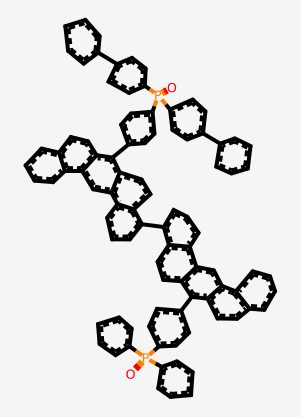 O=P(c1ccccc1)(c1ccccc1)c1ccc(-c2c3ccc4ccccc4c3cc3c2ccc2c(-c4cccc5c4ccc4c(-c6ccc(P(=O)(c7ccc(-c8ccccc8)cc7)c7ccc(-c8ccccc8)cc7)cc6)c6ccc7ccccc7c6cc45)cccc23)cc1